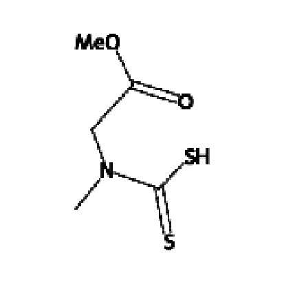 COC(=O)CN(C)C(=S)S